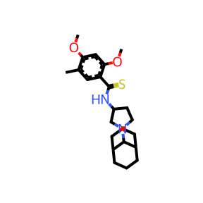 COc1cc(OC)c(C(=S)NC2CCN(C3C4CCCC3CCC4)C2)cc1C